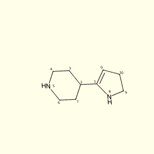 C1=C(C2CCNCC2)NCC1